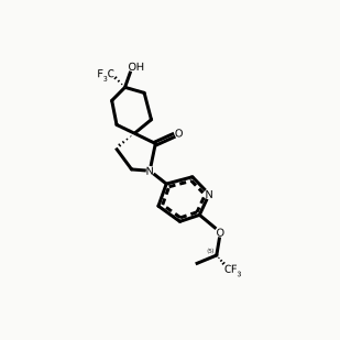 C[C@H](Oc1ccc(N2CC[C@]3(CC[C@@](O)(C(F)(F)F)CC3)C2=O)cn1)C(F)(F)F